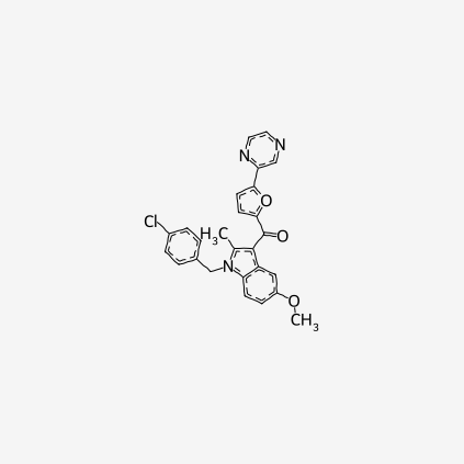 COc1ccc2c(c1)c(C(=O)c1ccc(-c3cnccn3)o1)c(C)n2Cc1ccc(Cl)cc1